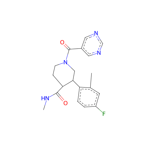 CNC(=O)C1CCN(C(=O)c2cncnc2)CC1c1ccc(F)cc1C